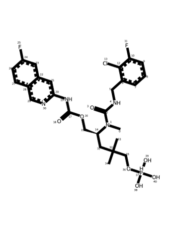 CN(C(=O)NCc1cccc(F)c1Cl)[C@H](COC(=O)Nc1cc2cc(F)ccc2cn1)CC(C)(C)CO[PH](O)(O)O